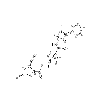 Cc1sc(NC(=O)C23CCC(NCC(=O)N4C[C@@H](F)C[C@H]4C#N)(CC2)CC3)nc1-c1ccccc1